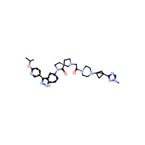 CC(C)Oc1ccc(-c2n[nH]c3ccc(N4CC[C@]5(CCN(CC(=O)N6CCN(C78CC(c9ncn(C)n9)(C7)C8)CC6)C5)C4=O)cc23)cn1